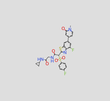 Cn1ccc(-c2cc(F)c3nc(C(C(=O)NCC(=O)NC4CC4)S(=O)(=O)c4ccc(F)cc4)sc3c2)cc1=O